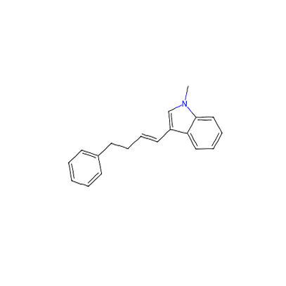 Cn1cc(C=CCCc2ccccc2)c2ccccc21